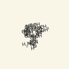 C[n+]1cn([C@@H]2O[C@H](COP(=O)(O)OP(=O)(O)OP(=O)(O)OC[C@@H]3C[C@H](O)C(n4cnc5c(=O)[nH]c(N)nc54)O3)C(O)C2O)c2nc(N)nc(O)c21